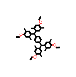 C=COc1cc(C)c(C(c2ccc(C(c3cc(C)c(OC=C)cc3C)c3cc(C)c(OC=C)cc3C)cc2)c2cc(C)c(OC=C)cc2C)cc1C